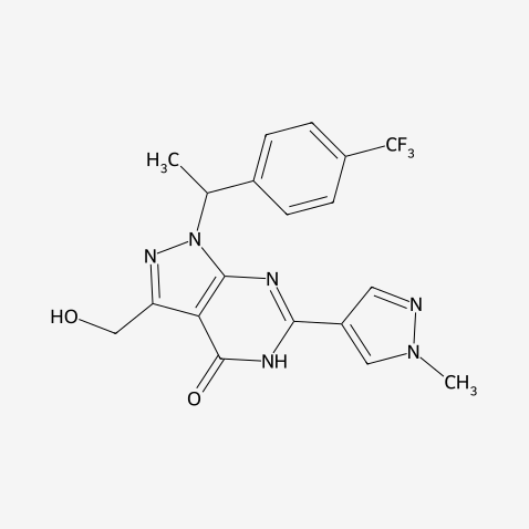 CC(c1ccc(C(F)(F)F)cc1)n1nc(CO)c2c(=O)[nH]c(-c3cnn(C)c3)nc21